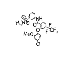 COc1cc(Cl)ccc1Oc1cc(C(F)(F)C(F)(F)F)ccc1C(=O)Nc1cccc(S(N)(=O)=O)c1